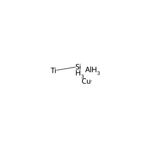 [AlH3].[Cu].[SiH3][Ti]